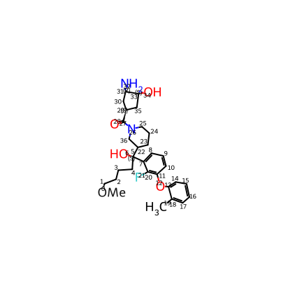 COCCCC[C@@](O)(c1cccc(Oc2ccccc2C)c1F)C1CCCN(C(=O)[C@H]2C[C@@H](N)[C@@H](O)C2)C1